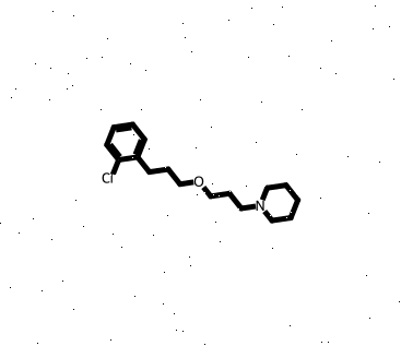 Clc1ccccc1CCCOCCCN1CCCCC1